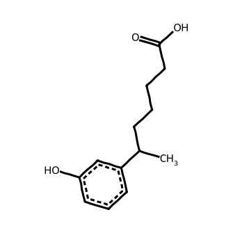 CC(CCCCC(=O)O)c1cccc(O)c1